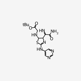 CC(C)(C)OC(=O)CNC1SC(Nc2cncnc2)=NC1C(=N)C(N)=O